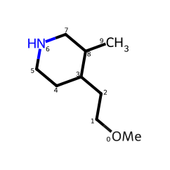 COCCC1CCNCC1C